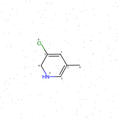 CC1=CNCC(Cl)=C1